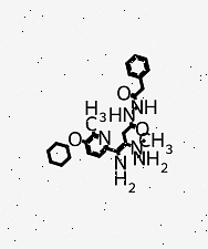 Cc1nc(/C(N)=C(\CC(=O)NNC(=O)Cc2ccccc2)N(C)N)ccc1OC1CCCCC1